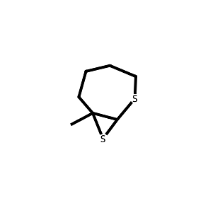 CC12CCCCSC1S2